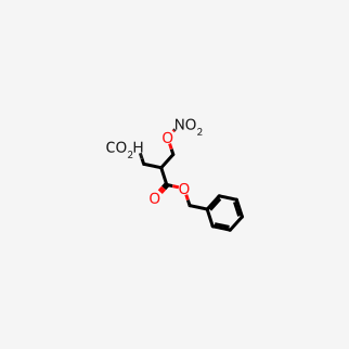 O=C(O)CC(CO[N+](=O)[O-])C(=O)OCc1ccccc1